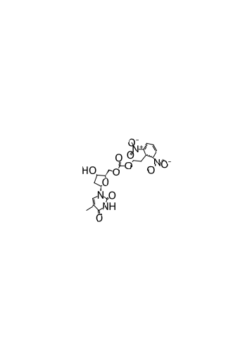 Cc1cn([C@H]2C[C@H](O)[C@@H](COC(=O)OCCc3c([N+](=O)[O-])cccc3[N+](=O)[O-])O2)c(=O)[nH]c1=O